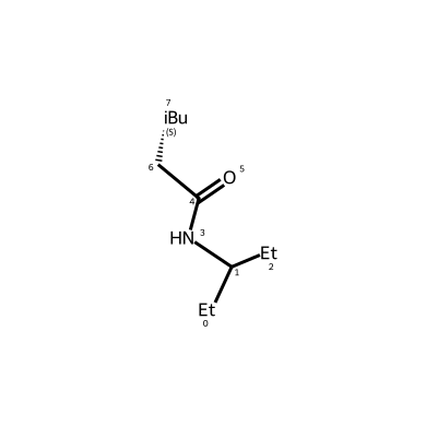 CCC(CC)NC(=O)C[C@@H](C)CC